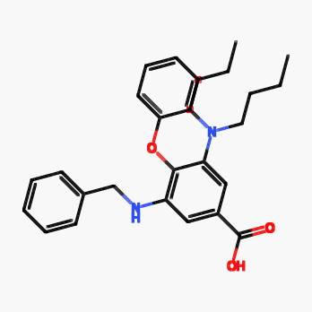 CCCCN(CCCC)c1cc(C(=O)O)cc(NCc2ccccc2)c1Oc1ccccc1